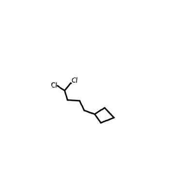 ClC(Cl)CCCC1CCC1